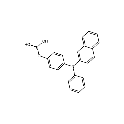 OB(O)Oc1ccc(N(c2ccccc2)c2ccc3ccccc3c2)cc1